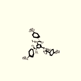 CC(C)(C)C1CCC(C(=O)Nc2cc(NC(=O)[C@H]3CC[C@H](C(C)(C)C)CC3)cc(NC(=O)[C@H]3CC[C@H](C(C)(C)C)CC3)c2)CC1